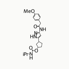 COc1ccc(CC(=O)Nc2cc(C3CCC(OC(=O)NC(C)C)C3)[nH]n2)cc1